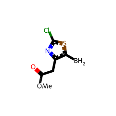 Bc1sc(Cl)nc1CC(=O)OC